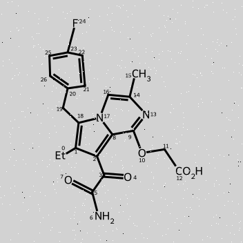 CCc1c(C(=O)C(N)=O)c2c(OCC(=O)O)nc(C)cn2c1Cc1ccc(F)cc1